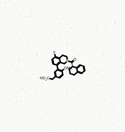 COc1ccc(CC(=O)O)cc1-c1ccc(F)c2c1CN(C(=O)[C@@H]1CCCc3ccccc31)CC2